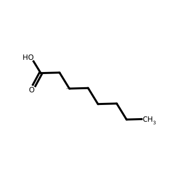 CCCCC[CH]CC(=O)O